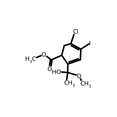 COC(=O)C1CC(Cl)=C(I)C=C1C(C)(O)OC